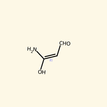 N/C(O)=C\C=O